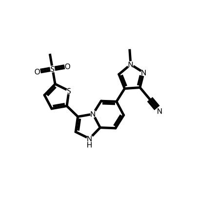 Cn1cc(C2=CN3C(c4ccc(S(C)(=O)=O)s4)=CNC3C=C2)c(C#N)n1